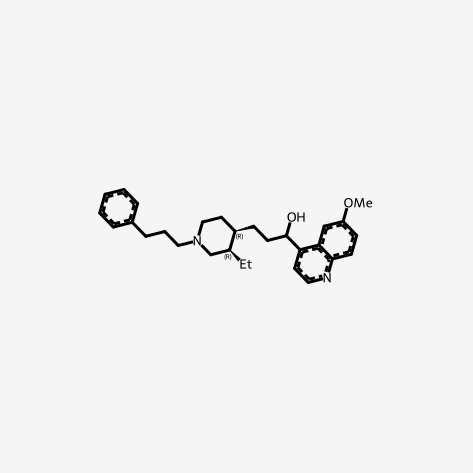 CC[C@H]1CN(CCCc2ccccc2)CC[C@H]1CCC(O)c1ccnc2ccc(OC)cc12